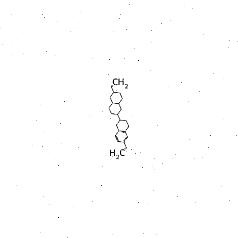 C=Cc1ccc2c(c1)CCC(C1CCC3CC(C=C)CCC3C1)C2